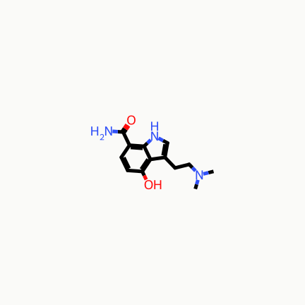 CN(C)CCc1c[nH]c2c(C(N)=O)ccc(O)c12